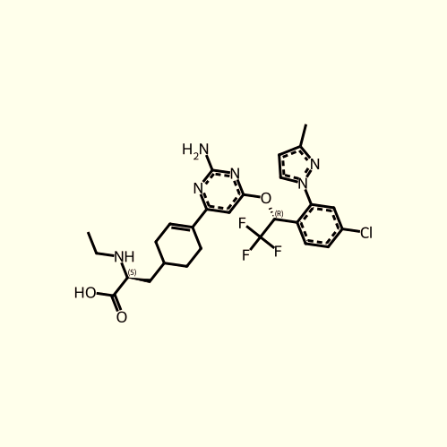 CCN[C@@H](CC1CC=C(c2cc(O[C@H](c3ccc(Cl)cc3-n3ccc(C)n3)C(F)(F)F)nc(N)n2)CC1)C(=O)O